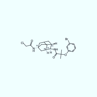 CC(C)(Oc1cccc(Br)c1)C(=O)N[C@H]1[C@@H]2CC3C[C@H]1C[C@](NC(=O)CCl)(C3)C2